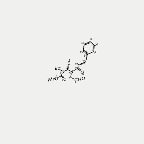 CCN(C(=O)OC)C(=O)N(C[C]=O)C(=O)C=Cc1ccccc1